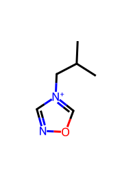 CC(C)C[n+]1cnoc1